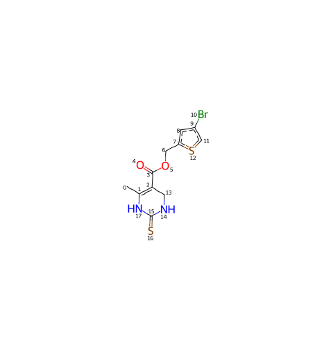 CC1=C(C(=O)OCc2cc(Br)cs2)CNC(=S)N1